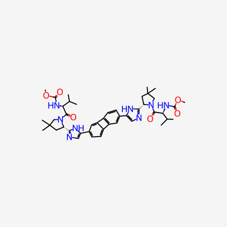 COC(=O)N[C@H](C(=O)N1CC(C)(C)C[C@H]1c1ncc(-c2ccc3c(c2)-c2ccc(-c4cnc([C@@H]5CC(C)(C)CN5C(=O)[C@@H](NC(=O)OC)C(C)C)[nH]4)cc2-3)[nH]1)C(C)C